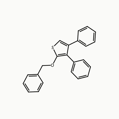 c1ccc(COc2scc(-c3ccccc3)c2-c2ccccc2)cc1